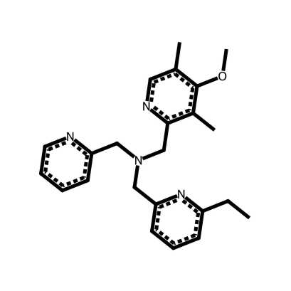 CCc1cccc(CN(Cc2ccccn2)Cc2ncc(C)c(OC)c2C)n1